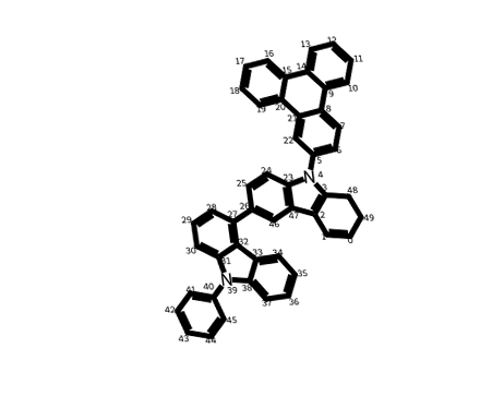 C1=Cc2c(n(-c3ccc4c5ccccc5c5ccccc5c4c3)c3ccc(-c4cccc5c4c4ccccc4n5-c4ccccc4)cc23)CC1